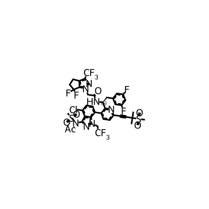 CC(=O)N(c1nn(CC(F)(F)F)c2c(-c3ccc(C#CC(C)(C)S(C)(=O)=O)nc3[C@H](Cc3cc(F)cc(F)c3)NC(=O)Cn3nc(C(F)(F)F)c4c3C(F)(F)CC4)ccc(Cl)c12)S(C)(=O)=O